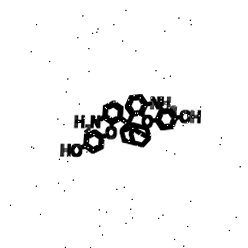 Nc1cccc(C2(c3cccc(N)c3Oc3ccc(O)cc3)C3CC4CC(C3)CC2C4)c1Oc1ccc(O)cc1